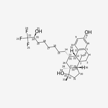 C=CC12CCc3cc(O)ccc3[C@H]1[C@@H](CCCCCC[C@H](O)C(F)(F)F)C[C@@]1(C)[C@H]2CC[C@]1(C)O